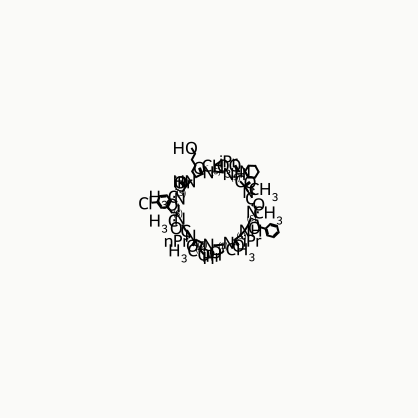 CCCN1CC(=O)N(C)[C@@H](Cc2cccc(Cl)c2)C(=O)N(C)[C@@H](CC(C)C)C(=O)NC(CCCCO)C(=O)N(C)[C@@H](CC(C)C)C(=O)N[C@H](C(=O)N2CCCCC2)CC(=O)N(C)CC(=O)N(C)[C@@H](CCc2ccccc2)C(=O)N[C@@H](C(C)C)C(=O)N(C)[C@@H](CC(C)C)C(=O)N[C@@H]([C@@H](C)O)C1=O